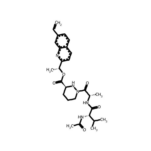 C=Cc1ccc2ccc([C@@H](C)OC(=O)[C@@H]3CCCN(C(=O)[C@H](C)NC(=O)[C@@H](NC(C)=O)C(C)C)N3)nc2c1